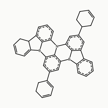 C1=CCCC(c2cc3c4c(c2)B2C5=CC=CCC5c5cccc(c52)N4c2cc(C4CC=CCC4)cc4c2B3c2ccccc2-4)=C1